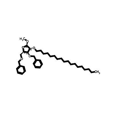 CCCCCCCCCCCCCCCCCCO[C@H]1[C@H](OC)O[C@H](COCc2ccccc2)[C@@H]1OCc1ccccc1